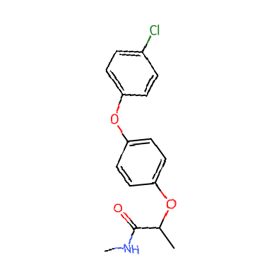 CNC(=O)C(C)Oc1ccc(Oc2ccc(Cl)cc2)cc1